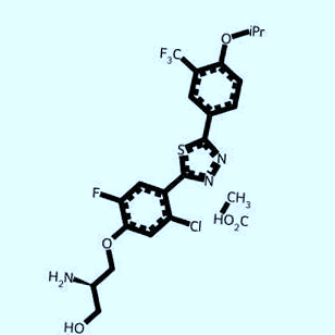 CC(=O)O.CC(C)Oc1ccc(-c2nnc(-c3cc(F)c(OC[C@H](N)CO)cc3Cl)s2)cc1C(F)(F)F